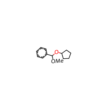 COC(OC1CCCC1)c1ccccc1